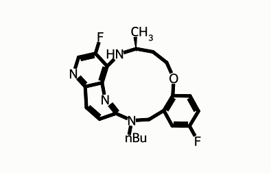 CCCCN1Cc2cc(F)ccc2OCC[C@H](C)Nc2c(F)cnc3ccc1nc23